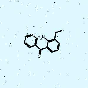 [CH2]Cc1cccc(C(=O)c2ccccc2)c1N